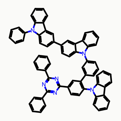 c1ccc(-c2nc(-c3ccccc3)nc(-c3ccc(-n4c5ccccc5c5ccccc54)c(-c4cccc(-n5c6ccccc6c6cc(-c7ccc8c(c7)c7ccccc7n8-c7ccccc7)ccc65)c4)c3)n2)cc1